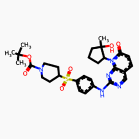 CC(C)(C)OC(=O)N1CCC(S(=O)(=O)c2ccc(Nc3ncc4ccc(=O)n(C5CCCC5(C)O)c4n3)cc2)CC1